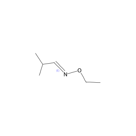 CCO/N=C/C(C)C